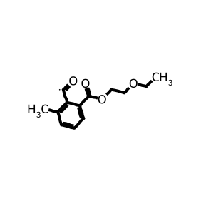 CCOCCOC(=O)c1cccc(C)c1[C]=O